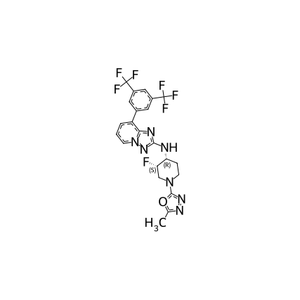 Cc1nnc(N2CC[C@@H](Nc3nc4c(-c5cc(C(F)(F)F)cc(C(F)(F)F)c5)cccn4n3)[C@@H](F)C2)o1